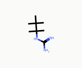 CC(C)(C)C(C)(C)NC(=N)N